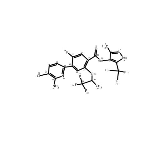 Cc1n[nH]c(C(F)(F)F)c1NC(=O)c1cc(F)c(-c2ccc(Cl)c(N)n2)cc1OC(C)C(F)(F)F